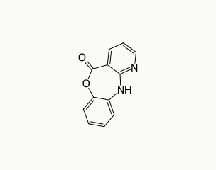 O=C1Oc2ccccc2Nc2ncccc21